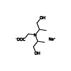 CC(CO)N(CC(=O)[O-])C(C)CO.[Na+]